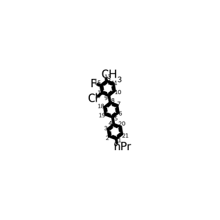 CCCc1ccc(-c2ccc(-c3ccc(C)c(F)c3Cl)cc2)cc1